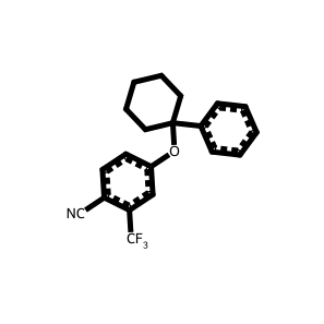 N#Cc1ccc(OC2(c3ccccc3)CCCCC2)cc1C(F)(F)F